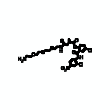 CN(CC(=O)NCCOCCOCCOCCN)C(=O)Oc1ccc(Cl)cc1C(=O)Nc1ccc([N+](=O)[O-])cc1Cl